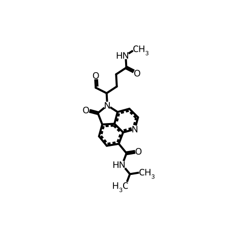 CNC(=O)CCC(C=O)N1C(=O)c2ccc(C(=O)NC(C)C)c3nccc1c23